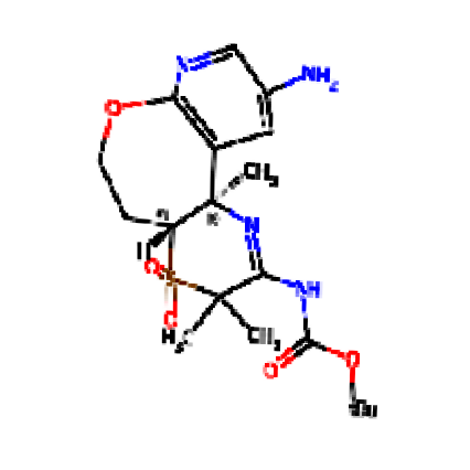 CC(C)(C)OC(=O)NC1=N[C@]2(C)c3cc(N)cnc3OCC[C@H]2S(=O)(=O)C1(C)C